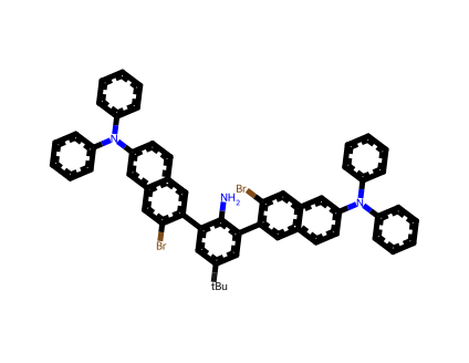 CC(C)(C)c1cc(-c2cc3ccc(N(c4ccccc4)c4ccccc4)cc3cc2Br)c(N)c(-c2cc3ccc(N(c4ccccc4)c4ccccc4)cc3cc2Br)c1